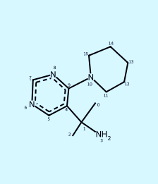 CC(C)(N)c1cn[c]nc1N1CCCCC1